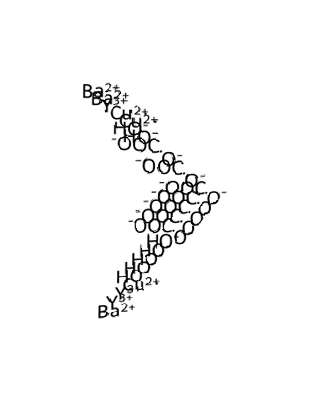 O=C([O-])[O-].O=C([O-])[O-].O=C([O-])[O-].O=C([O-])[O-].O=C([O-])[O-].O=C([O-])[O-].O=C([O-])[O-].[Ba+2].[Ba+2].[Ba+2].[Cu+2].[Cu+2].[Cu+2].[OH-].[OH-].[OH-].[OH-].[OH-].[OH-].[OH-].[Y+3].[Y+3].[Y+3]